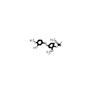 COc1ccc(/N=N/c2cc(OC)c(OC(F)(F)F)c(OC)c2)cc1O